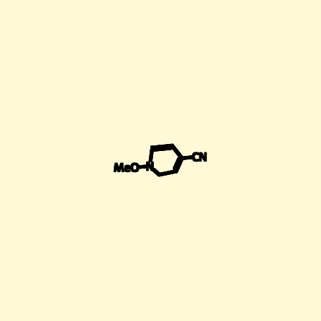 CON1C=CC(C#N)=CC1